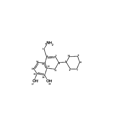 NCC1=CC(C2CCCCC2)Cc2c1ccc(O)c2O